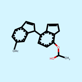 CC(=O)Oc1ccc2c(c1)C(c1ccc(OC(C)O)c3c1C=CC3)C=C2